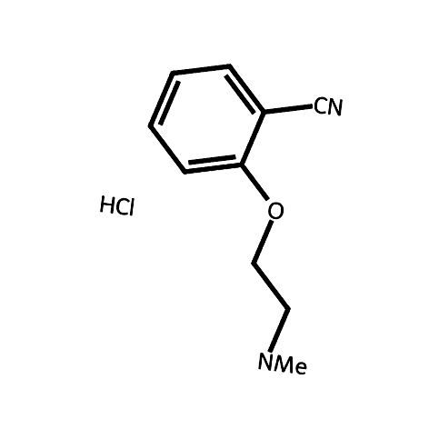 CNCCOc1ccccc1C#N.Cl